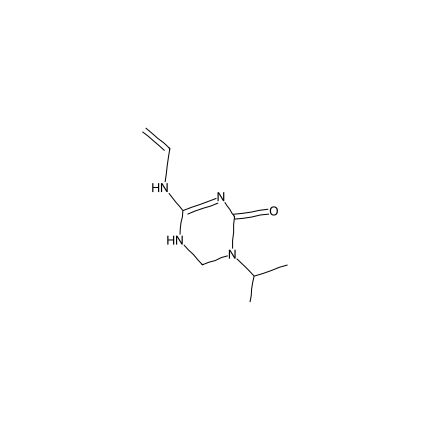 C=CNC1=NC(=O)N(C(C)C)CN1